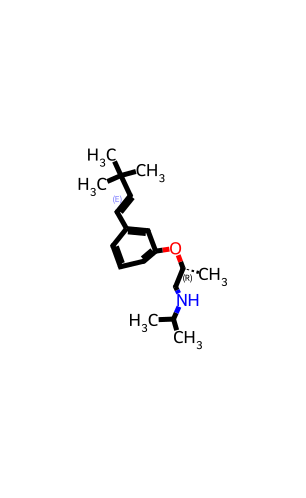 CC(C)NC[C@@H](C)Oc1cccc(/C=C/C(C)(C)C)c1